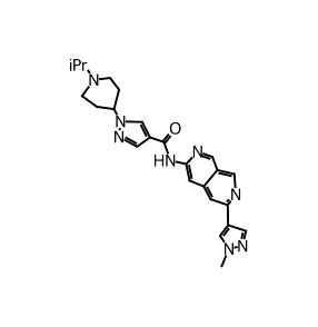 CC(C)N1CCC(n2cc(C(=O)Nc3cc4cc(-c5cnn(C)c5)ncc4cn3)cn2)CC1